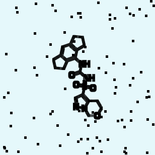 O=C(Nc1c2c(cc3c1CCC3)CCC2)NS(=O)(=O)c1cnn2c1CCOC2